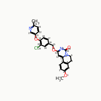 COc1ccc2c(c1)CCn1c-2cc(OCc2ccc(Oc3ccc(C)nc3)c(Cl)c2)nc1=O